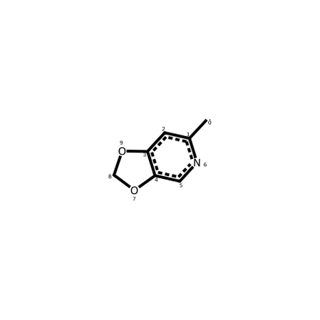 [CH2]c1cc2c(cn1)OCO2